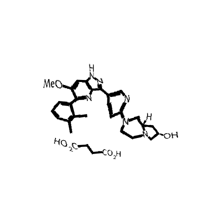 COc1cc2[nH]nc(-c3ccc(N4CCN5C[C@H](O)C[C@H]5C4)nc3)c2nc1-c1cccc(C)c1C.O=C(O)CCC(=O)O